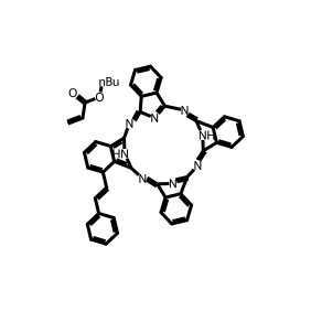 C(=Cc1cccc2c3nc4nc(nc5[nH]c(nc6nc(nc([nH]3)c12)-c1ccccc1-6)c1ccccc51)-c1ccccc1-4)c1ccccc1.C=CC(=O)OCCCC